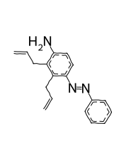 C=CCc1c(N)ccc(N=Nc2ccccc2)c1CC=C